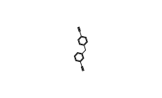 C#Cc1ccc(Cc2cccc(C#C)c2)cc1